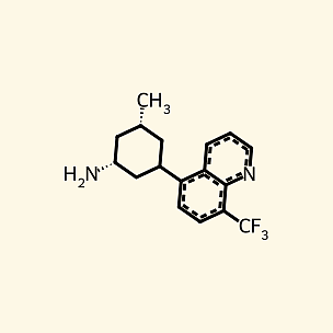 C[C@@H]1CC(c2ccc(C(F)(F)F)c3ncccc23)C[C@H](N)C1